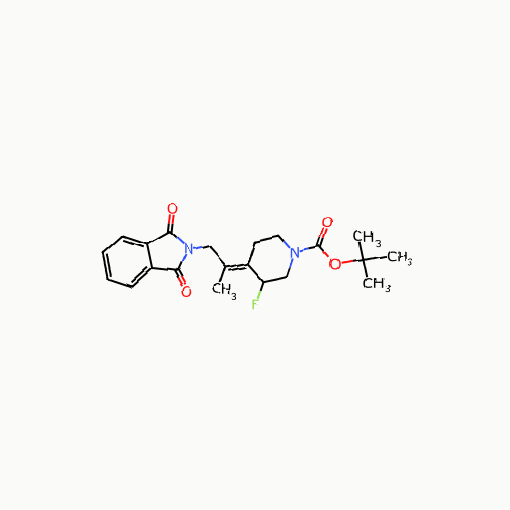 C/C(CN1C(=O)c2ccccc2C1=O)=C1/CCN(C(=O)OC(C)(C)C)CC1F